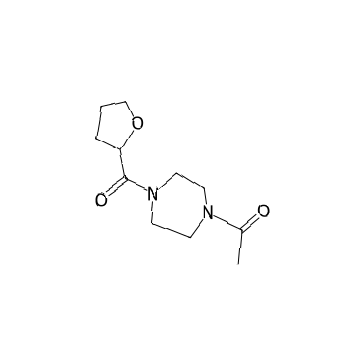 CC(=O)N1CCN(C(=O)C2CCCO2)CC1